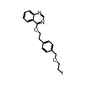 ICCOCc1ccc(CCOc2ncnc3ccccc23)cc1